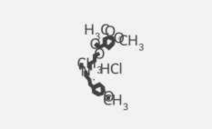 CCN(C[CH]Cc1ccc(OC)cc1)CCCCOC(=O)c1ccc(OC)c(OC)c1.Cl